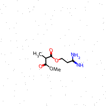 COC(=O)C(C)C(=O)OCCC(=N)N